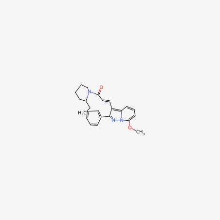 CCC1CCCCN1C(=O)/C=C/c1c(-c2ccccc2)nn2c(OC)cccc12